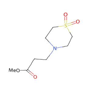 COC(=O)CCN1CCS(=O)(=O)CC1